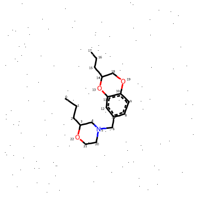 CCCC1CN(Cc2ccc3c(c2)OC(CCC)CO3)CCO1